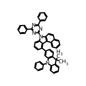 CC1(C)c2ccccc2N(c2ccccc2)c2cc(-c3cccc4c3c3c5ccccc5ccc3n4-c3nc(-c4ccccc4)nc(-c4ccccc4)n3)ccc21